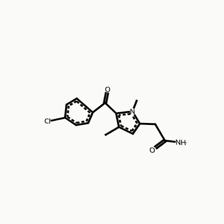 Cc1cc(CC([NH])=O)n(C)c1C(=O)c1ccc(Cl)cc1